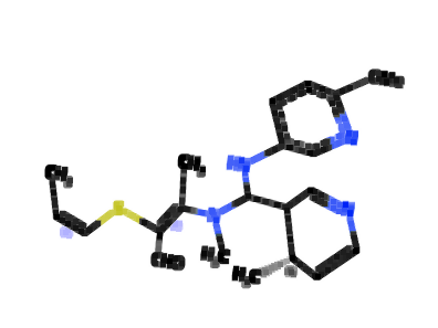 C/C=C\S/C(C=O)=C(\C)N(C)C(Nc1ccc(OC)nc1)C1C=NC=C[C@@H]1C